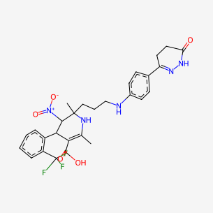 CC1=C(C(=O)O)C(c2ccccc2C(F)(F)F)C([N+](=O)[O-])C(C)(CCCNc2ccc(C3=NNC(=O)CC3)cc2)N1